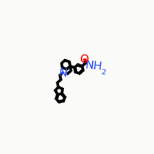 NC(=O)c1cccc(C23CCCC(C2)N(CCCC2Cc4ccccc4C2)CC3)c1